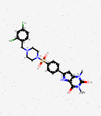 CCCn1c(=O)c2[nH]c(-c3ccc(S(=O)(=O)N4CCN(Cc5ccc(F)cc5F)CC4)cc3)cc2n(C)c1=O